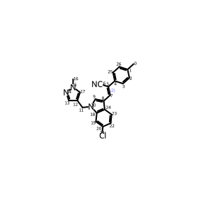 Cc1ccc(/C(C#N)=C/c2cn(Cc3cnn(C)c3)c3cc(Cl)ccc23)cc1